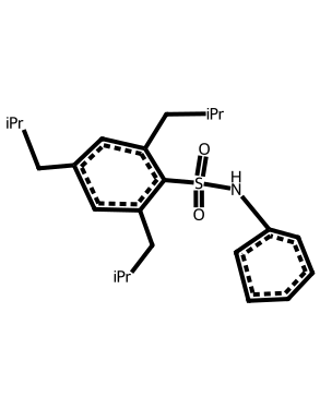 CC(C)Cc1cc(CC(C)C)c(S(=O)(=O)Nc2ccccc2)c(CC(C)C)c1